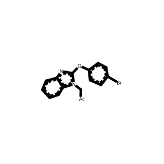 CC(=O)Cn1c(Oc2ccc(Br)cc2)nc2ccccc21